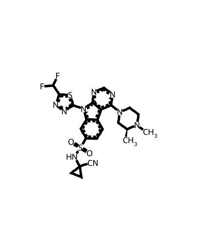 C[C@H]1CN(c2ncnc3c2c2ccc(S(=O)(=O)NC4(C#N)CC4)cc2n3-c2nnc(C(F)F)s2)CCN1C